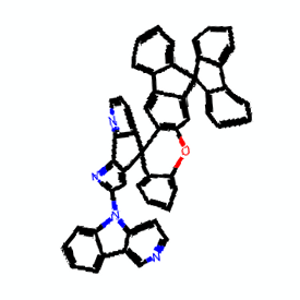 c1ccc2c(c1)Oc1cc3c(cc1C21c2cccnc2-c2ncc(-n4c5ccccc5c5cnccc54)cc21)-c1ccccc1C31c2ccccc2-c2ccccc21